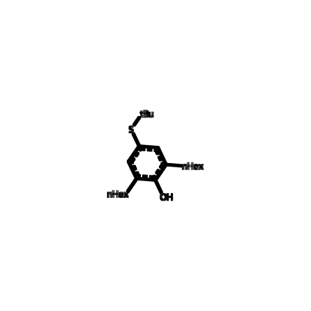 CCCCCCc1cc(SC(C)(C)C)cc(CCCCCC)c1O